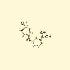 OB(O)c1cccc(Oc2ccc(Cl)cc2)c1